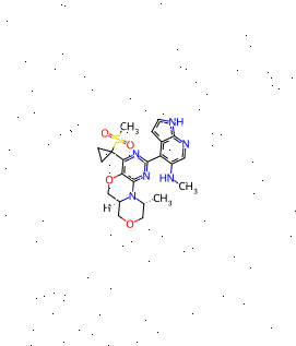 CNc1cnc2[nH]ccc2c1-c1nc2c(c(C3(S(C)(=O)=O)CC3)n1)OC[C@@H]1COC[C@@H](C)N21